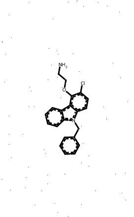 NCCOc1c(Cl)ccc2c1c1ccccc1n2Cc1ccccc1